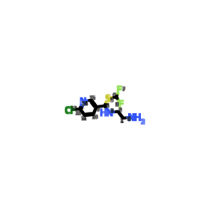 NCCNC(SC(F)F)c1ccc(Cl)nc1